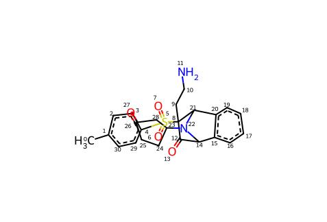 Cc1ccc(S(=O)(=O)C2(CCN)C(=O)C3c4ccccc4C2N3C2CCC(=O)C2)cc1